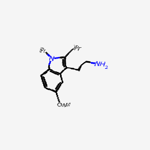 COc1ccc2c(c1)c(CCN)c(C(C)C)n2C(C)C